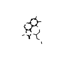 COCC1COc2c(Br)c(F)cc3ncc4c(c23)n1c(=O)n4C